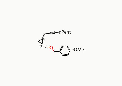 CCCCCC#CC[C@@H]1C[C@H]1COCc1ccc(OC)cc1